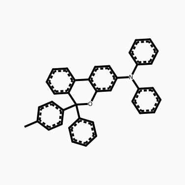 Cc1ccc(C2(c3ccccc3)Oc3cc(N(c4ccccc4)c4ccccc4)ccc3-c3ccccc32)cc1